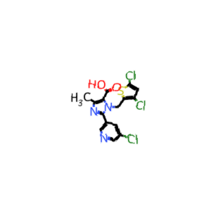 Cc1nc(-c2cncc(Cl)c2)n(Cc2sc(Cl)cc2Cl)c1C(=O)O